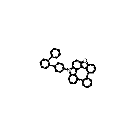 c1ccc(-c2ccccc2-c2ccc(-n3c4cccc5c6ccccc6c6cccc7oc8ccc3c(c8c76)c54)cc2)cc1